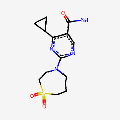 NC(=O)c1cnc(N2CCCS(=O)(=O)CC2)nc1C1CC1